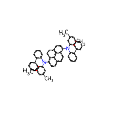 Cc1cc(C)cc(N(c2ccccc2-c2ccccc2)c2ccc3ccc4c(N(c5cc(C)cc(C)c5)c5ccccc5-c5ccccc5)ccc5ccc2c3c54)c1